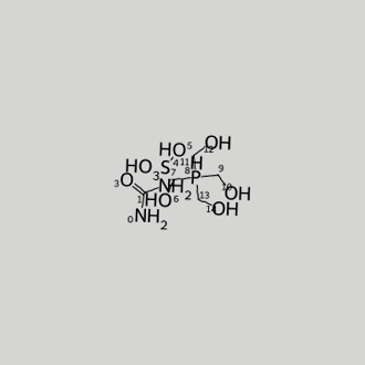 NC(N)=O.O=S(=O)(O)O.OC[PH](CO)(CO)CO